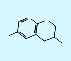 CC(C)c1cnc2c(c1)CC(C(C)C)CO2